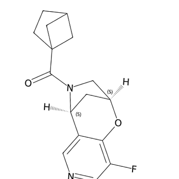 O=C(N1C[C@@H]2C[C@H]1c1cncc(F)c1O2)C12CCC(C1)C2